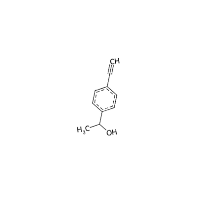 C#Cc1ccc(C(C)O)cc1